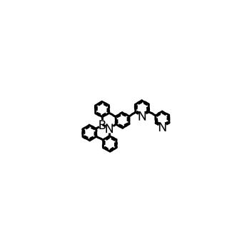 c1cncc(-c2cccc(-c3ccc4c(c3)-c3ccccc3B3c5ccccc5-c5ccccc5N34)n2)c1